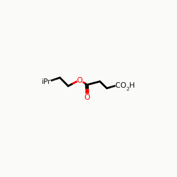 CC(C)CCOC(=O)CCC(=O)O